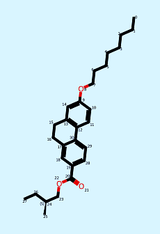 CCCCCCCCOc1ccc2c(c1)CCc1cc(C(=O)OC[C@@H](C)CC)ccc1-2